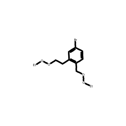 CCOOCCc1cc(Br)ccc1COOCC